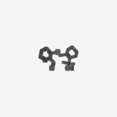 CC(C)(O)C1=C(COc2cccnc2C=O)CCCC1